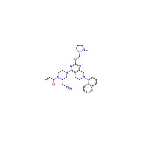 C=CC(=O)N1CCN(c2nc(OC[C@H]3CCCN3C)nc3c2CCN(c2cccc4ccccc24)C3)C[C@@H]1CC#N